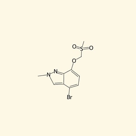 Cn1cc2c(Br)ccc(OCS(C)(=O)=O)c2n1